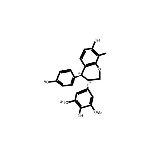 COc1cc([C@H]2COc3c(ccc(O)c3C)[C@@H]2c2ccc(O)cc2)cc(OC)c1O